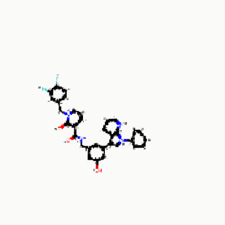 O=C(NCc1cc(O)cc(-c2cn(-c3ccccc3)c3ncccc23)c1)c1cccn(Cc2ccc(F)c(F)c2)c1=O